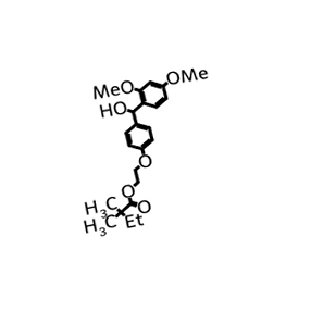 CCC(C)(C)C(=O)OCCOc1ccc(C(O)c2ccc(OC)cc2OC)cc1